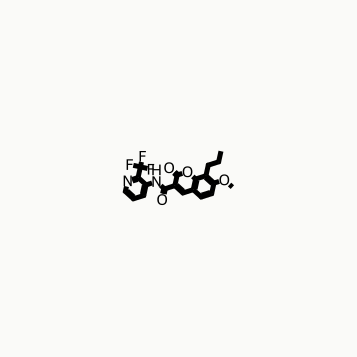 CCCc1c(OC)ccc2cc(C(=O)Nc3cccnc3C(F)(F)F)c(=O)oc12